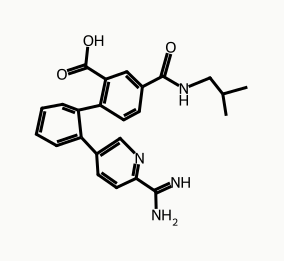 CC(C)CNC(=O)c1ccc(-c2ccccc2-c2ccc(C(=N)N)nc2)c(C(=O)O)c1